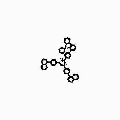 C1=CC2c3cccc(-c4ccc(-c5nc(-c6ccc(-c7cccc8ccccc78)cc6)cc(-c6ccc(-c7cccc8ccccc78)cc6)n5)cc4)c3N(c3ccccc3)C2C=C1